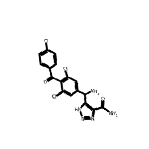 NC(=O)c1nn[nH]c1C(N)c1cc(Cl)c(C(=O)c2ccc(Cl)cc2)c(Cl)c1